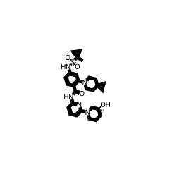 CC1(S(=O)(=O)Nc2ccc(C(=O)Nc3cccc(N4CCC[C@@H](O)C4)n3)c(N3CCC4(CC3)CC4)c2)CC1